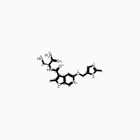 Cc1ncc(COc2cc3c(C(=O)N[C@@H](CO)C(N)=O)c(C)oc3cn2)s1